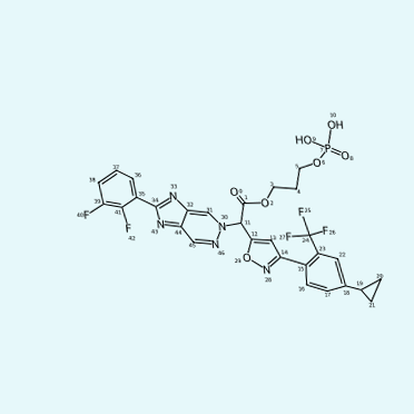 O=C(OCCCOP(=O)(O)O)C(c1cc(-c2ccc(C3CC3)cc2C(F)(F)F)no1)n1cc2nc(-c3cccc(F)c3F)nc-2cn1